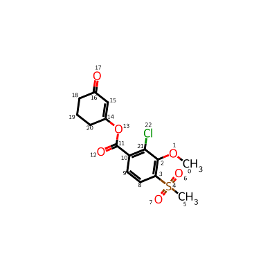 COc1c(S(C)(=O)=O)ccc(C(=O)OC2=CC(=O)CCC2)c1Cl